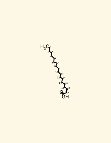 CCCCCCCCCCCCCCCCC/C=C\C(=O)O